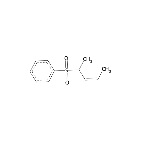 C/C=C\C(C)S(=O)(=O)c1ccccc1